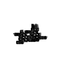 O=C([O-])c1ccnc(-c2c(-c3nccc(C(=O)[O-])c3Cl)nc(Cl)c(Cl)c2C(=O)[O-])c1.O=C([O-])c1ccnc(-c2c(-c3nccc(C(=O)[O-])c3Cl)nc(Cl)c(Cl)c2C(=O)[O-])c1.[Ru+2].[Ru+2].[Ru+2]